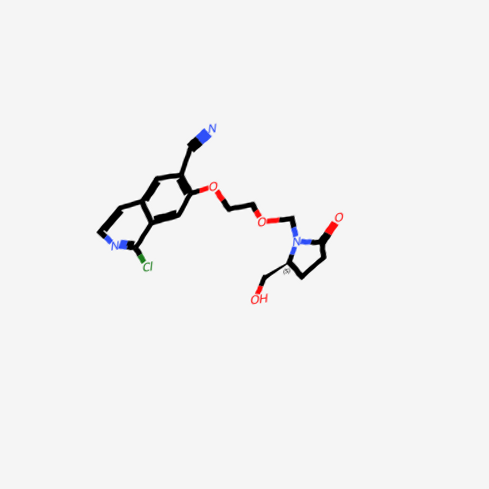 N#Cc1cc2ccnc(Cl)c2cc1OCCOCN1C(=O)CC[C@H]1CO